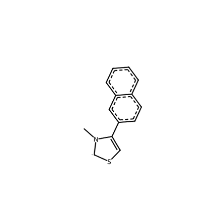 CN1[CH]SC=C1c1ccc2ccccc2c1